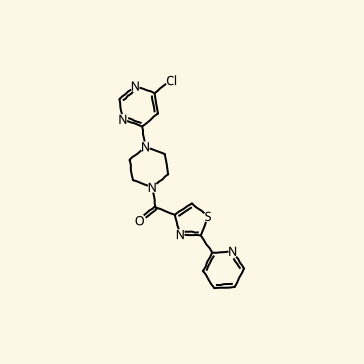 O=C(c1csc(-c2ccccn2)n1)N1CCN(c2cc(Cl)ncn2)CC1